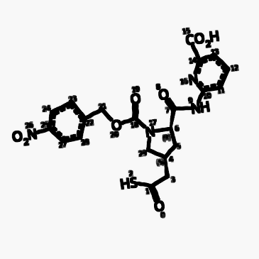 O=C(S)C[C@@H]1C[C@H](C(=O)Nc2cccc(C(=O)O)n2)N(C(=O)OCc2ccc([N+](=O)[O-])cc2)C1